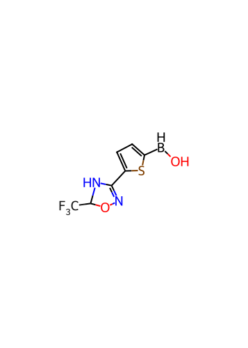 OBc1ccc(C2=NOC(C(F)(F)F)N2)s1